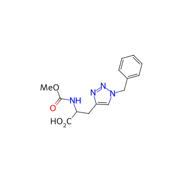 COC(=O)NC(Cc1cn(Cc2ccccc2)nn1)C(=O)O